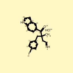 CC(CC=N)(Cc1ccc(F)cc1)C(=O)c1ccc2[nH]ccc2c1.Cl